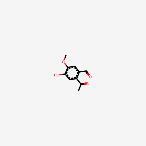 COc1cc(C=O)c(C(C)=O)cc1O